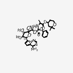 CC(NP(=O)(OC[C@@]1(C#N)O[C@@H](c2ccc3c(N)ncnn23)[C@H](O)[C@@H]1O)Oc1ccccc1)C(=O)OC1CCOC(C)(C)C1